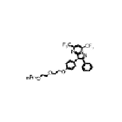 CCCOCCOCCOc1ccc(-c2c(-c3ccccc3)nn3c(C(F)(F)F)cc(C(F)(F)F)nc23)cc1